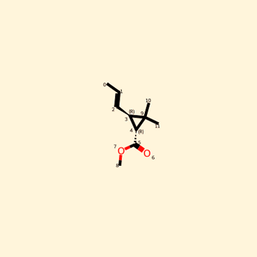 CC=C[C@@H]1[C@@H](C(=O)OC)C1(C)C